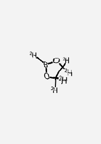 [2H]B1OC([2H])([2H])C([2H])([2H])O1